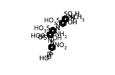 CN=Nc1c(S(=O)(=O)O)cc2c(S(=O)(=O)O)c(N=Nc3cc(S(=O)(=O)O)c4cc(SOOO)c(N=Nc5ccc(SOOO)cc5[N+](=O)[O-])c(O)c4c3N)ccc2c1O